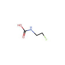 O=C(O)NCCF